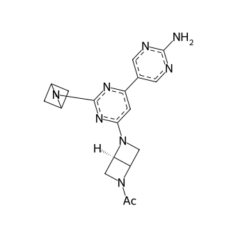 CC(=O)N1C[C@@H]2C1CN2c1cc(-c2cnc(N)nc2)nc(N2CC3CC2C3)n1